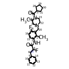 Cc1c(NC(=O)/C(F)=C/c2ccccc2)ccc(F)c1CN1CCN(C(=O)C2CCCC2)[C@@H](C)C1